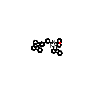 c1ccc(-c2nc(-c3cccc(-c4ccc5c(c4)-c4ccccc4C54c5ccccc5-c5ccccc54)c3)nc(-c3cccc4c5ccccc5n(-c5ccccc5)c34)n2)cc1